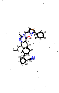 CCCCc1nc(C)n(Cc2csc(-c3ccccc3)n2)c(=O)c1Cc1ccc(-c2ccccc2C#N)cc1